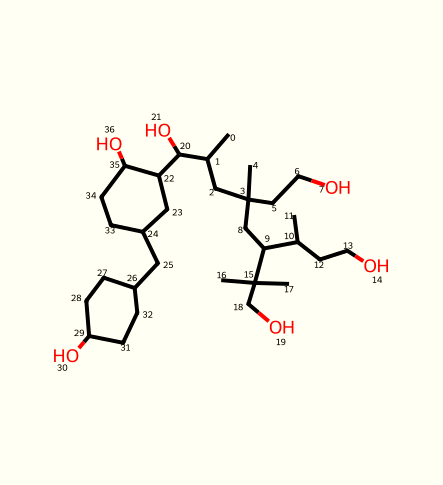 CC(CC(C)(CCO)CC(C(C)CCO)C(C)(C)CO)C(O)C1CC(CC2CCC(O)CC2)CCC1O